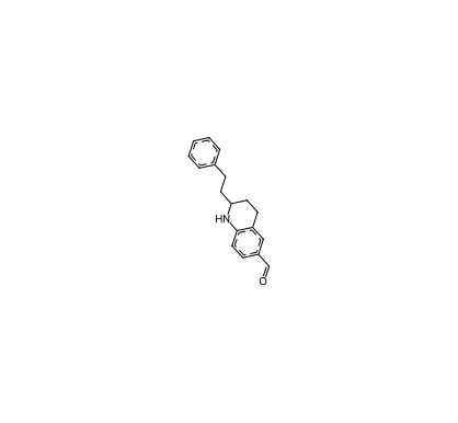 O=Cc1ccc2c(c1)CCC(CCc1ccccc1)N2